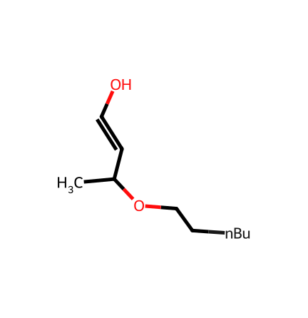 CCCCCCOC(C)C=CO